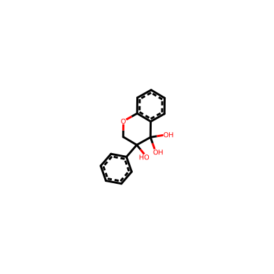 OC1(O)c2ccccc2OCC1(O)c1ccccc1